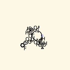 C=CC(=O)N1CC/C=C\[C@@H]2C[C@@]2(C(=O)NS(=O)(=O)C2CC2)NC(=O)C2C[C@@H](OC(=O)N3Cc4cccc(F)c4C3)CN2C(=O)[C@@H](NC(=O)OC(C)(C)C)CC1